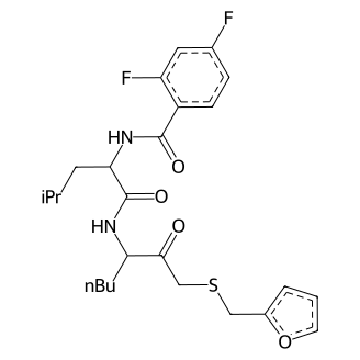 CCCCC(NC(=O)C(CC(C)C)NC(=O)c1ccc(F)cc1F)C(=O)CSCc1ccco1